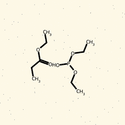 CCOC(=O)CC.CCOP(O)OCC